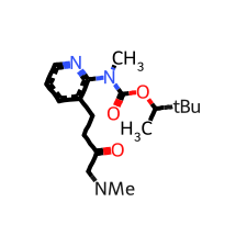 CNCC(=O)CCc1cccnc1N(C)C(=O)OC(C)C(C)(C)C